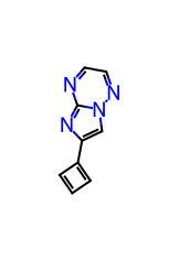 C1=CC(c2cn3nccnc3n2)=C1